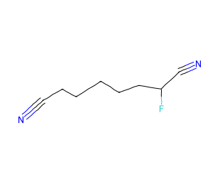 N#CCCCCCC(F)C#N